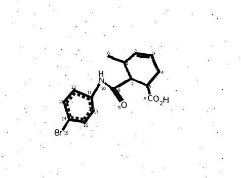 CC1C=CCC(C(=O)O)C1C(=O)Nc1ccc(Br)cc1